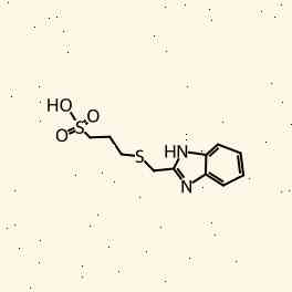 O=S(=O)(O)CCCSCc1nc2ccccc2[nH]1